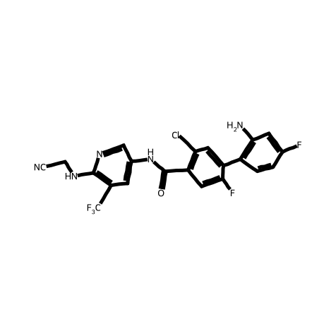 N#CCNc1ncc(NC(=O)c2cc(F)c(-c3ccc(F)cc3N)cc2Cl)cc1C(F)(F)F